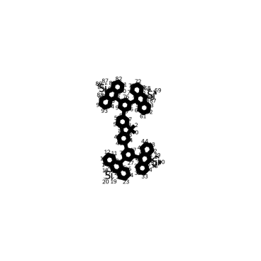 CC1(C)c2cc(-c3cc(-c4c5ccccc5c([Si](C)(C)C)c5ccccc45)cc(-c4c5ccccc5c([Si](C)(C)C)c5ccccc45)c3)ccc2-c2ccc(-c3cc(-c4c5ccccc5c([Si](C)(C)C)c5ccccc45)cc(-c4c5ccccc5c([Si](C)(C)C)c5ccccc45)c3)cc21